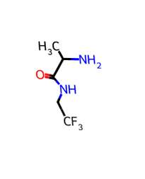 CC(N)C(=O)NCC(F)(F)F